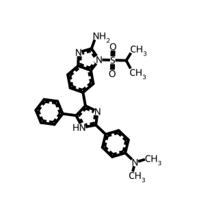 CC(C)S(=O)(=O)n1c(N)nc2ccc(-c3nc(-c4ccc(N(C)C)cc4)[nH]c3-c3ccccc3)cc21